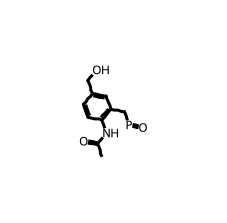 CC(=O)Nc1ccc(CO)cc1CP=O